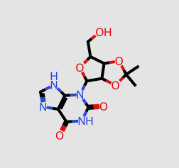 CC1(C)OC2C(CO)OC(n3c(=O)[nH]c(=O)c4nc[nH]c43)C2O1